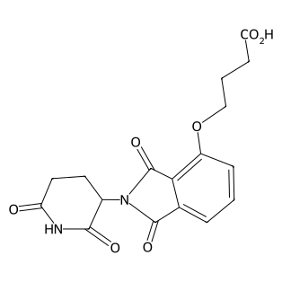 O=C(O)CCCOc1cccc2c1C(=O)N(C1CCC(=O)NC1=O)C2=O